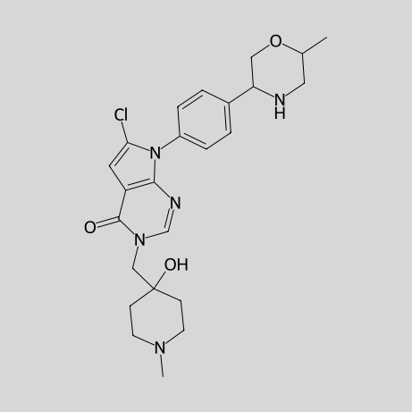 CC1CNC(c2ccc(-n3c(Cl)cc4c(=O)n(CC5(O)CCN(C)CC5)cnc43)cc2)CO1